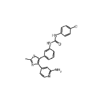 Cc1nc(-c2ccnc(N)c2)c(-c2cccc(NC(=O)Nc3ccc(Cl)cc3)c2)s1